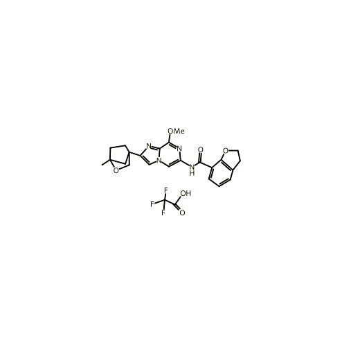 COc1nc(NC(=O)c2cccc3c2OCC3)cn2cc(C34CCC(C)(C3)OC4)nc12.O=C(O)C(F)(F)F